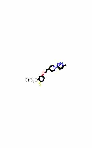 CCOC(=O)C1=CC(OCCC2CCN(c3ccc(C)nn3)CC2)=CCC1=S